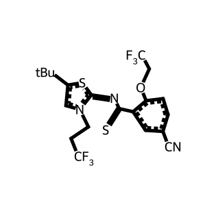 CC(C)(C)c1cn(CCC(F)(F)F)c(=NC(=S)c2cc(C#N)ccc2OCC(F)(F)F)s1